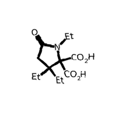 CCN1C(=O)CC(CC)(CC)C1(C(=O)O)C(=O)O